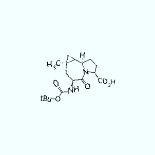 CC(C)(C)OC(=O)N[C@H]1C[C@@]2(C)CC2[C@H]2CC[C@@H](C(=O)O)N2C1=O